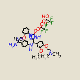 CCOc1cc(C(Nc2ccc(C(=N)N)cc2)c2nn(-c3ccccc3OC)c(=O)[nH]2)ccc1OCCN(C)C.O=C(O)C(F)(F)F.O=C(O)C(F)(F)F